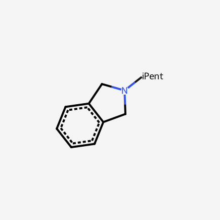 CCCC(C)N1Cc2ccccc2C1